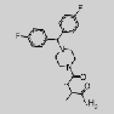 CC([CH]C(=O)N1CCN(C(c2ccc(F)cc2)c2ccc(F)cc2)CC1)C(N)=O